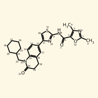 Cc1nc(C)c(C(=O)Nc2nc(-c3ccc4c(c3)CCC(=O)N4CC3CCCCC3)cs2)o1